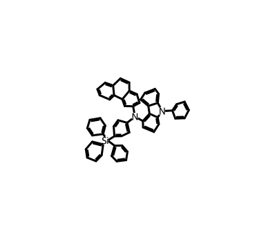 c1ccc(-n2c3ccccc3c3c(N(c4ccc([Si](c5ccccc5)(c5ccccc5)c5ccccc5)cc4)c4ccc5ccc6ccccc6c5c4)cccc32)cc1